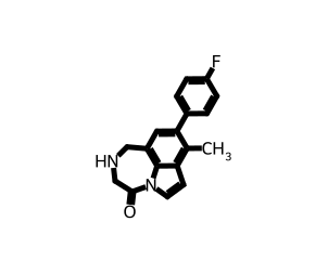 Cc1c(-c2ccc(F)cc2)cc2c3c1ccn3C(=O)CNC2